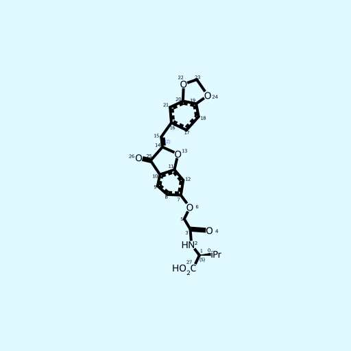 CC(C)[C@H](NC(=O)COc1ccc2c(c1)O/C(=C\c1ccc3c(c1)OCO3)C2=O)C(=O)O